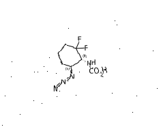 [N-]=[N+]=N[C@H]1CCCC(F)(F)[C@@H]1NC(=O)O